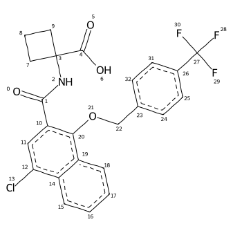 O=C(NC1(C(=O)O)CCC1)c1cc(Cl)c2ccccc2c1OCc1ccc(C(F)(F)F)cc1